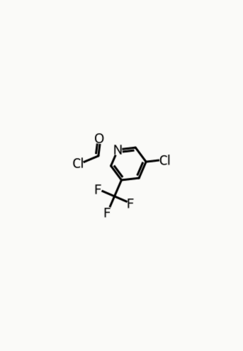 FC(F)(F)c1cncc(Cl)c1.O=CCl